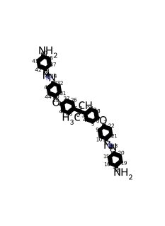 CC(C)(c1ccc(Oc2ccc(/N=N/c3ccc(N)cc3)cc2)cc1)c1ccc(Oc2ccc(/N=N/c3ccc(N)cc3)cc2)cc1